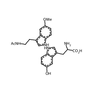 COc1ccc2[nH]cc(CCNC(C)=O)c2c1.NC(Cc1c[nH]c2ccc(O)cc12)C(=O)O